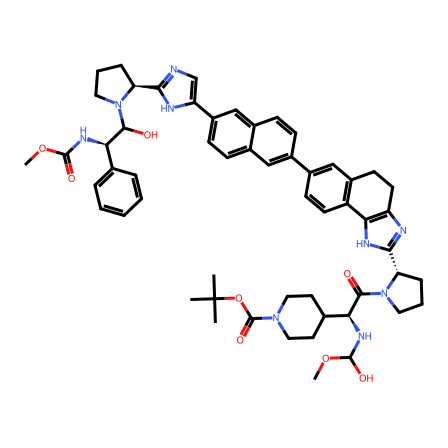 COC(=O)N[C@H](c1ccccc1)C(O)N1CCC[C@H]1c1ncc(-c2ccc3cc(-c4ccc5c(c4)CCc4nc([C@@H]6CCCN6C(=O)[C@@H](NC(O)OC)C6CCN(C(=O)OC(C)(C)C)CC6)[nH]c4-5)ccc3c2)[nH]1